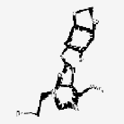 Nc1ncn(CCBr)c2nc(Sc3cc4c(cc3Br)OCO4)nc1-2